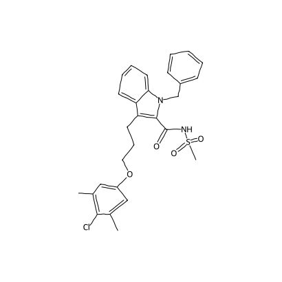 Cc1cc(OCCCc2c(C(=O)NS(C)(=O)=O)n(Cc3ccccc3)c3ccccc23)cc(C)c1Cl